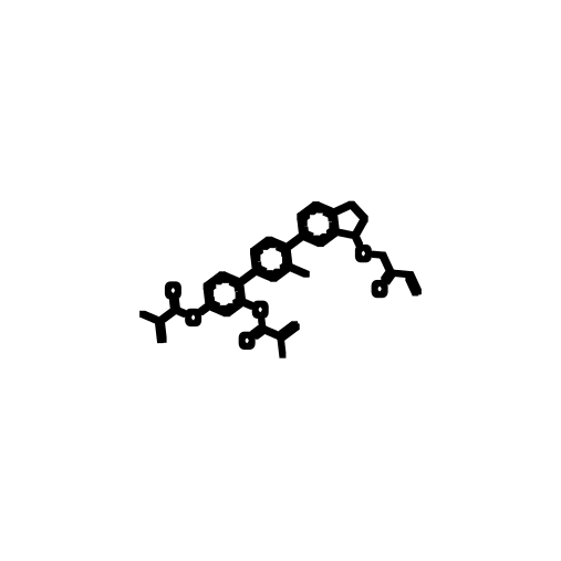 C=CC(=O)COC1CCc2ccc(-c3ccc(-c4ccc(OC(=O)C(=C)C)cc4OC(=O)C(=C)C)cc3C)cc21